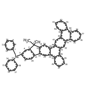 CC1(C)c2cc(N(c3ccccc3)c3ccccc3)ccc2-c2cc3c4ccccc4c4cc5c6ccccc6c6ccccc6c5cc4c3cc21